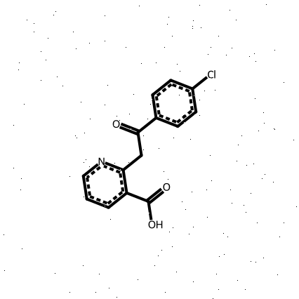 O=C(Cc1ncccc1C(=O)O)c1ccc(Cl)cc1